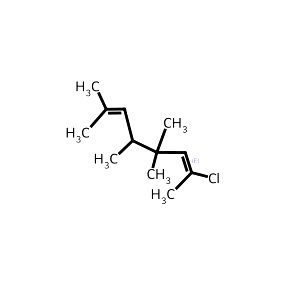 CC(C)=CC(C)C(C)(C)/C=C(\C)Cl